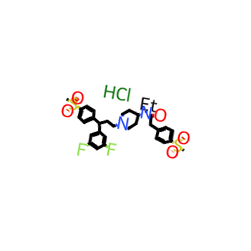 CCN(C(=O)Cc1ccc(S(C)(=O)=O)cc1)C1CCN(CCC(c2ccc(S(C)(=O)=O)cc2)c2cc(F)cc(F)c2)CC1.Cl